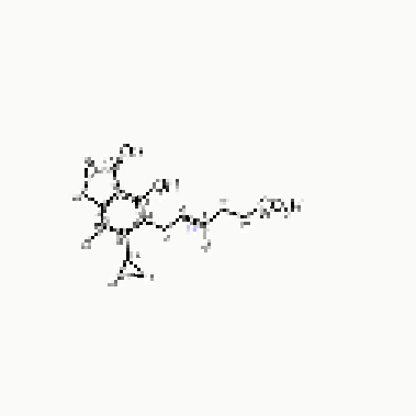 C/C(=C\Cc1c(O)c2c(c(C)c1C1CC1)COC2=O)CCC(=O)O